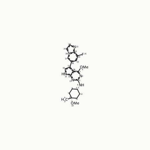 COc1nc(N[C@H]2CC[C@@](C)(OC)CC2)nc2[nH]cc(-c3cc(F)c4nccn4c3)c12